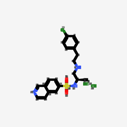 C[C@H](CNCCc1ccc(Cl)cc1)NS(=O)(=O)c1ccc2cnccc2c1.Cl.Cl